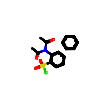 CC(=O)N(C(C)=O)c1[c]cccc1S(=O)(=O)Cl.[c]1ccccc1